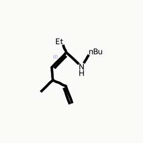 C=CC(C)/C=C(/CC)NCCCC